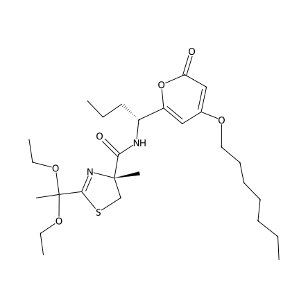 CCCCCCCOc1cc([C@@H](CCC)NC(=O)[C@]2(C)CSC(C(C)(OCC)OCC)=N2)oc(=O)c1